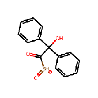 O=C([SH](=O)=O)C(O)(c1ccccc1)c1ccccc1